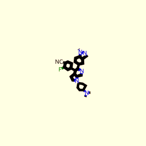 CN(C)C1CCC(n2ccc3c(-c4ccc(C#N)c(F)c4)c(-c4ccc5c(cnn5C)c4)ncc32)CC1